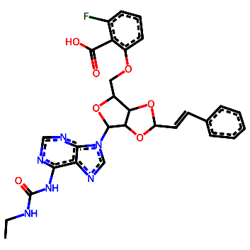 CCNC(=O)Nc1ncnc2c1ncn2C1OC(COc2cccc(F)c2C(=O)O)C2OC(/C=C/c3ccccc3)OC21